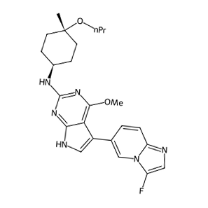 CCCO[C@]1(C)CC[C@@H](Nc2nc(OC)c3c(-c4ccc5ncc(F)n5c4)c[nH]c3n2)CC1